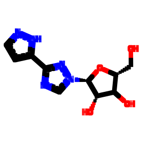 OC[C@H]1O[C@@H](n2cnc(-c3ccn[nH]3)n2)[C@@H](O)C1O